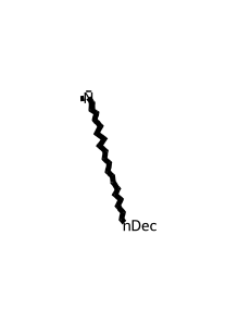 CCCCCCCCCCCCCCCCCCCCCCCCCCCCC=CN(C)C